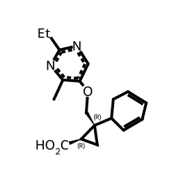 CCc1ncc(OC[C@@]2(C3C=CC=CC3)C[C@H]2C(=O)O)c(C)n1